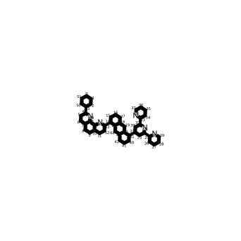 c1ccc(-c2ccc3ccc4ccc(-c5cccc6cc7c(-c8cc(-c9ccccn9)nc(-c9ccccn9)c8)cccc7cc56)nc4c3n2)cc1